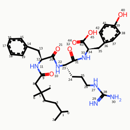 CC(C)CCC(C)(C)CC(=O)N[C@@H](Cc1ccccc1)C(=O)N[C@@H](CCCNC(=N)N)C(=O)N[C@H](Cc1ccc(O)cc1)C(=O)O